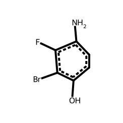 Nc1ccc(O)c(Br)c1F